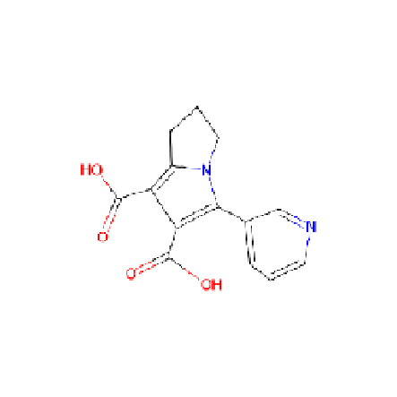 O=C(O)c1c(C(=O)O)c(-c2cccnc2)n2c1CCC2